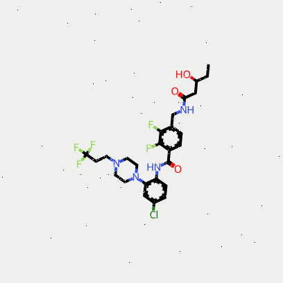 CCC(O)CC(=O)NCc1ccc(C(=O)Nc2ccc(Cl)cc2N2CCN(CCC(F)(F)F)CC2)c(F)c1F